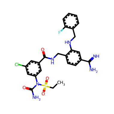 CCS(=O)(=O)N(C(N)=O)c1cc(Cl)cc(C(=O)NCc2ccc(C(=N)N)cc2NCc2ccccc2F)c1